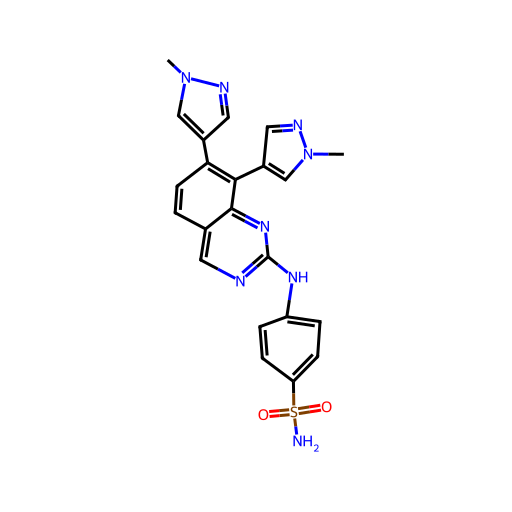 Cn1cc(-c2ccc3cnc(Nc4ccc(S(N)(=O)=O)cc4)nc3c2-c2cnn(C)c2)cn1